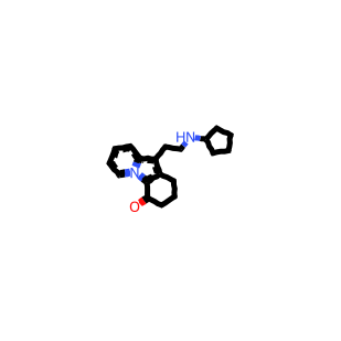 O=C1CCCc2c(CCNC3CCCC3)c3ccccn3c21